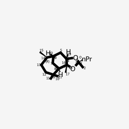 CCC[C@@]1(C)O[C@H]2C[C@@H]3C[C@H](C(C)(C)CC[C@H]3C)[C@@]2(C)O1